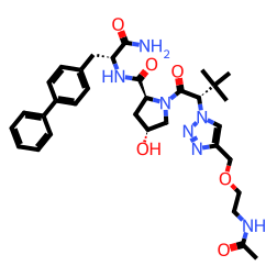 CC(=O)NCCOCc1cn([C@H](C(=O)N2C[C@H](O)C[C@H]2C(=O)N[C@H](Cc2ccc(-c3ccccc3)cc2)C(N)=O)C(C)(C)C)nn1